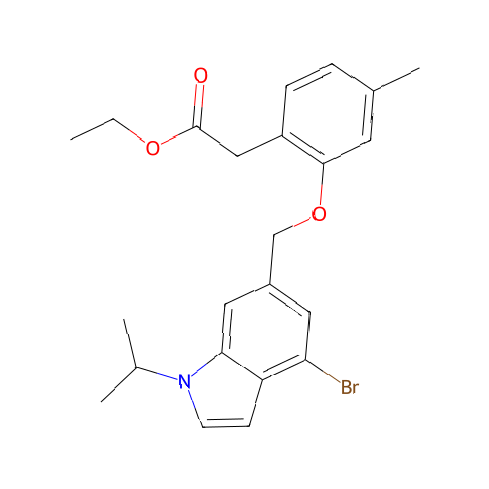 CCOC(=O)Cc1ccc(C)cc1OCc1cc(Br)c2ccn(C(C)C)c2c1